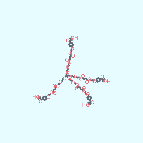 CC(C)(O)C(=O)c1ccc(OCCOC(=O)CCC(=O)OCCOCCOCC(COCCOCCOC(=O)CCC(=O)OCCOc2ccc(C(=O)C(C)(C)O)cc2)(COCCOCCOC(=O)CCC(=O)OCCOc2ccc(C(=O)C(C)(C)O)cc2)COCCOCCOC(=O)CCC(=O)OCCOc2ccc(C(=O)C(C)(C)O)cc2)cc1